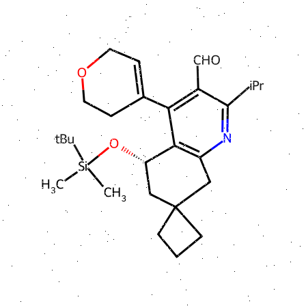 CC(C)c1nc2c(c(C3=CCOCC3)c1C=O)[C@@H](O[Si](C)(C)C(C)(C)C)CC1(CCC1)C2